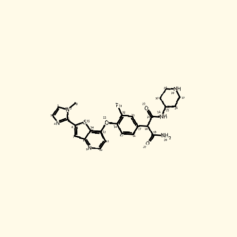 Cn1ccnc1-c1cc2nccc(Oc3ccc(C(C(N)=O)C(=O)NC4CCNCC4)cc3F)c2s1